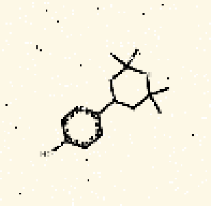 CC1(C)[CH][C](c2ccc(O)cc2)CC(C)(C)N1